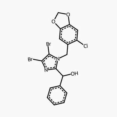 OC(c1ccccc1)c1nc(Br)c(Br)n1Cc1cc2c(cc1Cl)OCO2